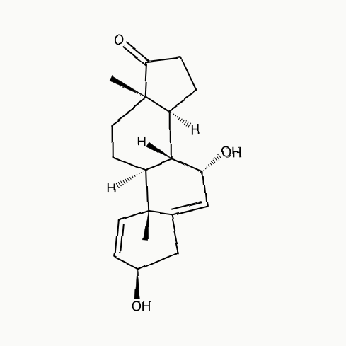 C[C@]12C=C[C@H](O)CC1=C[C@@H](O)[C@@H]1[C@@H]2CC[C@]2(C)C(=O)CC[C@@H]12